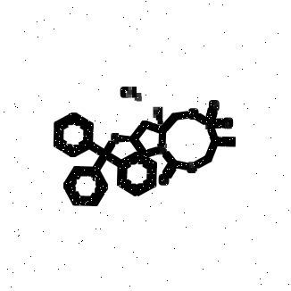 C.C=C1COC(=O)N2C[C@@H](SC(c3ccccc3)(c3ccccc3)c3ccccc3)C[C@H]2COS1(=O)=O